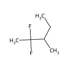 CCC(C)C(C)(F)F